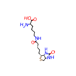 NC(CCCCNC(=O)CCCC[C@@H]1SCC2NC(=O)NC21)C(=O)O